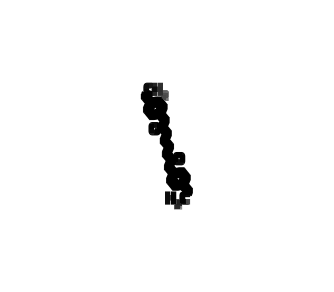 C=Cc1ccc(CC(=O)CCCCC(=O)Cc2ccc(C=C)cc2)cc1